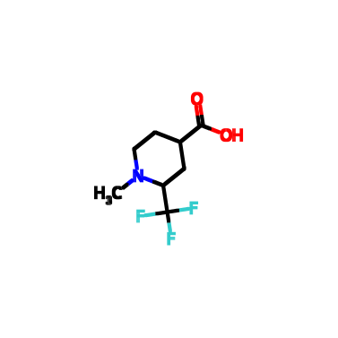 CN1CCC(C(=O)O)CC1C(F)(F)F